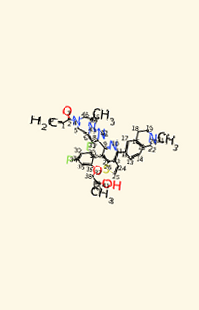 C=CC(=O)N1Cc2cc(-c3nc(-c4ccc5c(c4)CCN(C)C5)c4ccsc4c3-c3c(F)cc(F)cc3OC[C@@H](C)O)nn2[C@@H](C)C1